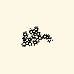 c1cc(-c2ccc3c(c2)C2(c4ccccc4-3)c3ccccc3-n3c4ccccc4c4cccc2c43)cc(N(c2ccc(-c3ccc4oc5ccccc5c4c3)cc2)c2cccc3c2-c2ccccc2C32c3ccccc3-c3ccccc32)c1